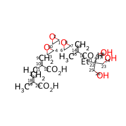 C1CO1.C1CO1.C1CO1.C=C(C)C(=O)O.C=C(C)C(=O)O.C=C(C)C(=O)O.CCC(CO)(CO)CO